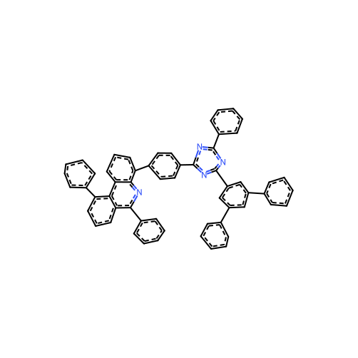 c1ccc(-c2cc(-c3ccccc3)cc(-c3nc(-c4ccccc4)nc(-c4ccc(-c5cccc6c5nc(-c5ccccc5)c5cccc(-c7ccccc7)c56)cc4)n3)c2)cc1